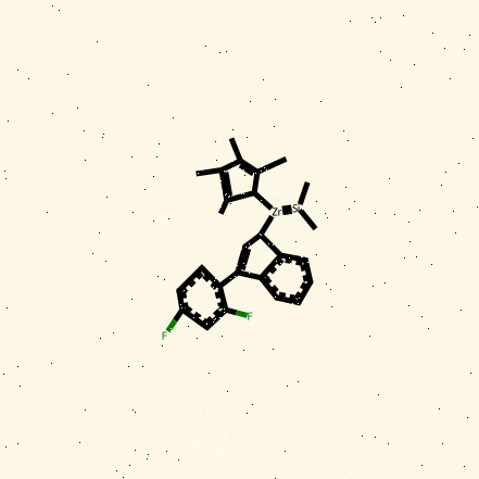 CC1=C(C)[CH]([Zr]([CH]2C=C(c3ccc(F)cc3F)c3ccccc32)=[Si](C)C)C(C)=C1C